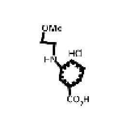 COCCNc1cccc(C(=O)O)c1.Cl